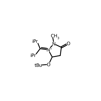 CC(C)C(C(C)C)=[N+]1C(OC(C)(C)C)CC(=O)N1C